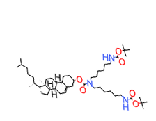 CC(C)CCC[C@@H](C)[C@H]1CC[C@H]2[C@@H]3CC=C4C[C@@H](OC(=O)N(CCCCCCNC(=O)OC(C)(C)C)CCCCCCNC(=O)OC(C)(C)C)CC[C@]4(C)[C@H]3CC[C@]12C